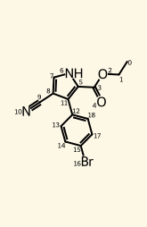 CCOC(=O)c1[nH]cc(C#N)c1-c1ccc(Br)cc1